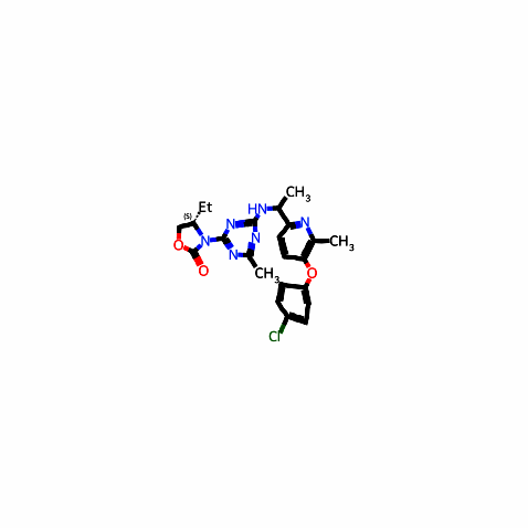 CC[C@H]1COC(=O)N1c1nc(C)nc(NC(C)c2ccc(Oc3ccc(Cl)cc3)c(C)n2)n1